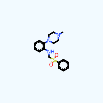 CN1CCN(c2ccccc2NCS(=O)(=O)c2ccccc2)CC1